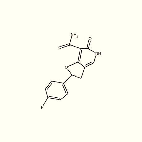 NC(=O)c1c2c(c[nH]c1=O)CC(c1ccc(F)cc1)O2